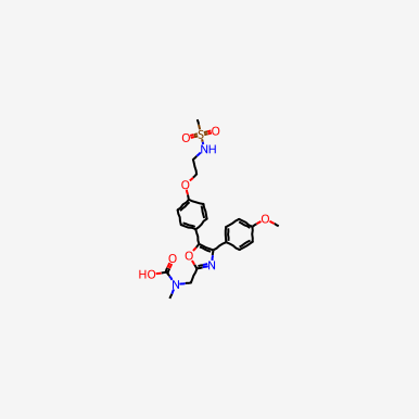 COc1ccc(-c2nc(CN(C)C(=O)O)oc2-c2ccc(OCCNS(C)(=O)=O)cc2)cc1